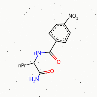 CCCC(NC(=O)c1ccc([N+](=O)[O-])cc1)C(N)=O